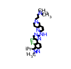 CC(C)c1c2c(F)c(-c3nc(Nc4ccc5c(n4)CCN(CCCN(C)C)C5)ncc3F)ccc2nn1C